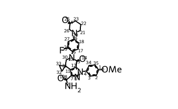 COc1ccc(-n2nc(C(N)=O)c3c2C(=O)N(c2ccc(N4CCCC(=O)C4)cc2F)CC32CC2)cc1